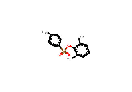 Cc1ccc(S(=O)(=O)Oc2c(C)cccc2C=O)cc1